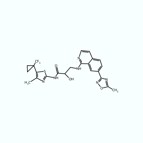 Cc1nc(-c2ccc3ccnc(NCC(O)C(=O)Nc4nc(C)c(C5(C(F)(F)F)CC5)s4)c3c2)no1